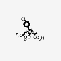 CC(C(=O)O)n1nc(-c2ccc(Cl)cc2)n(CC(O)C(F)(F)F)c1=O